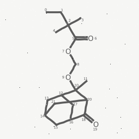 CCC(C)(C)C(=O)OCOC1(C)C2CC3CC(C2)C(=O)C1C3